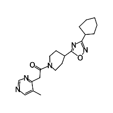 Cc1cncnc1CC(=O)N1CCC(c2nc(C3CCCCC3)no2)CC1